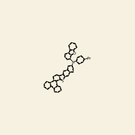 CC(C)c1ccc(N(c2ccc3cc4sc5c(ccc6c7ccccc7c7ccccc7c65)c4cc3c2)c2cccc3c2oc2ccccc23)cc1